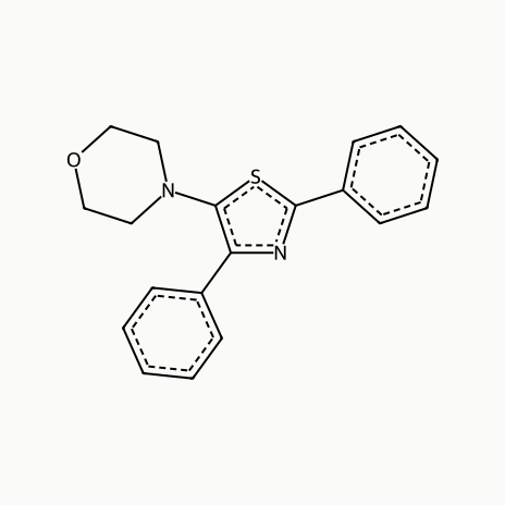 c1ccc(-c2nc(-c3ccccc3)c(N3CCOCC3)s2)cc1